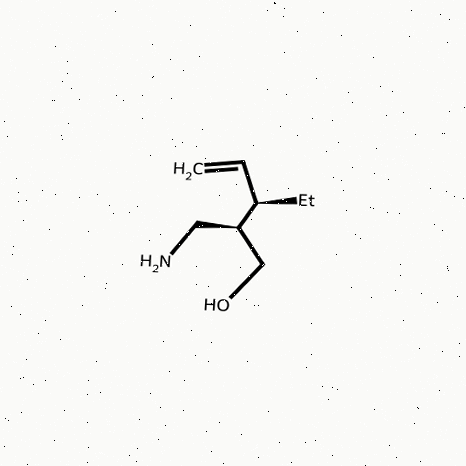 C=C[C@@H](CC)[C@H](CN)CO